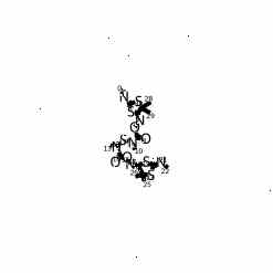 CN=C1SC(=NOC(=O)N(C)SN(C)C(=O)ON=C2SC(=NC)SC2(C)C)C(C)(C)S1